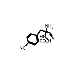 N#Cc1ccc(C[C@](N)(C=S)NC(=O)O)cc1